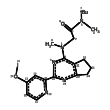 CN(CC(=O)N(C)C(C)(C)C)c1nc(-c2cc(OI)ccn2)nc2c1CCC2